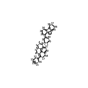 c1cc(-c2ccc3ccc4c(-c5ccncc5)ccc5ccc2c3c54)cc(-c2cccc3c2oc2ccccc23)c1